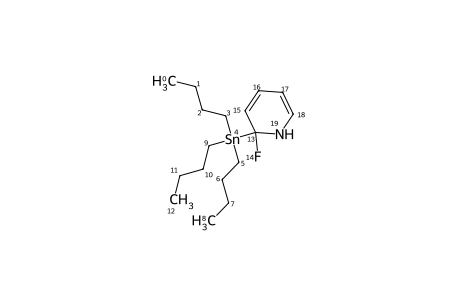 CCC[CH2][Sn]([CH2]CCC)([CH2]CCC)[C]1(F)C=CC=CN1